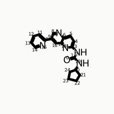 O=C(Nc1ccc2ncc(-c3ccccn3)cc2n1)NC1CCCC1